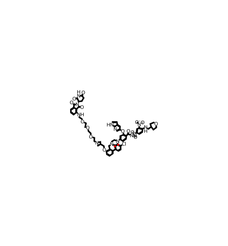 O=C1CCC(N2C(=O)c3cccc(NCCOCCOCCOCCN4CC(COc5cccc(-c6ccc(Cl)cc6)c5CN5CCN(c6ccc(C(=O)NS(=O)(=O)c7ccc(NCC8CCOCC8)c([N+](=O)[O-])c7)c(Oc7cnc8[nH]ccc8c7)c6)CC5)C4)c3C2=O)C(=O)N1